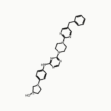 O[C@@H]1CCN(c2ccc(Nc3ncnc(N4CCN(c5ncc(Cc6ccccc6)cn5)CC4)n3)cc2)C1